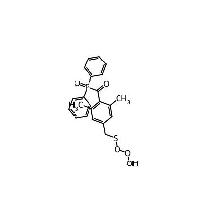 Cc1cc(CSOOO)cc(C)c1C(=O)P(=O)(c1ccccc1)c1ccccc1